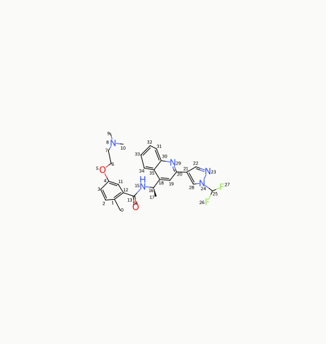 Cc1ccc(OCCN(C)C)cc1C(=O)N[C@H](C)c1cc(-c2cnn(C(F)F)c2)nc2ccccc12